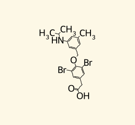 Cc1cc(COc2c(Br)cc(CC(=O)O)cc2Br)cc(NC(C)C)c1